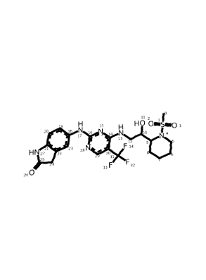 CS(=O)(=O)N1CCCCC1C(O)CNc1nc(Nc2ccc3c(c2)CC(=O)N3)ncc1C(F)(F)F